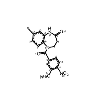 COc1cc(C(=O)N2CCC(=O)Nc3cc(C)ccc32)ccc1[N+](=O)[O-]